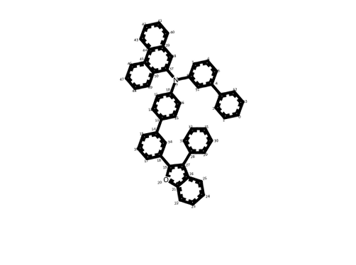 c1ccc(-c2cccc(N(c3ccc(-c4cccc(-c5oc6ccccc6c5-c5ccccc5)c4)cc3)c3cc4ccccc4c4ccccc34)c2)cc1